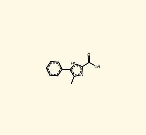 Cc1nc(C(=O)O)[nH]c1-c1ccccc1